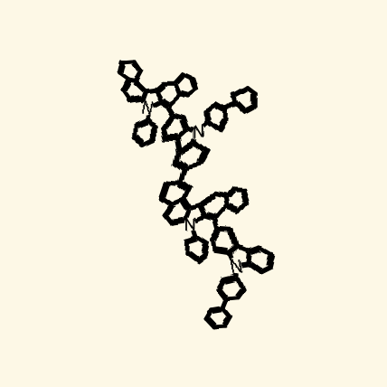 c1ccc(-c2ccc(-n3c4ccccc4c4cc(-c5c6ccccc6cc6c7c8cc(-c9ccc%10c(c9)c9ccc(-c%11c%12ccccc%12cc%12c%13c%14ccccc%14ccc%13n(-c%13ccccc%13)c%11%12)cc9n%10-c9ccc(-c%10ccccc%10)cc9)ccc8ccc7n(-c7ccccc7)c56)ccc43)cc2)cc1